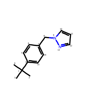 CC(C)(C)c1[c]cc(Cn2cccn2)cc1